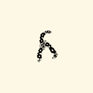 N#COC1CCC(CC2CCC(n3c(=O)n(C4CCC(CC5CCC(N=C=O)CC5)CC4)c(=O)n(C4CCC(CC5CCC(N=C=O)CC5)CC4)c3=O)CC2)CC1